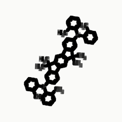 Cc1ccccc1N(c1ccc2c(c1)C(C)(C)c1cc3c(cc1-2)C(C)(C)c1cc(N(c2ccccc2C)c2ccccc2C)ccc1-3)c1ccccc1C